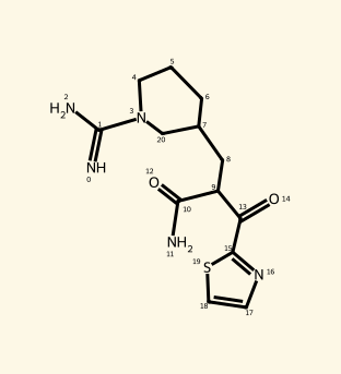 N=C(N)N1CCCC(CC(C(N)=O)C(=O)c2nccs2)C1